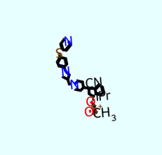 CCCC(CC(C#N)(c1ccccc1)C1CCN(CC2CN(c3ccc(Sc4ccncc4)cc3)C2)CC1)OC[S+](C)[O-]